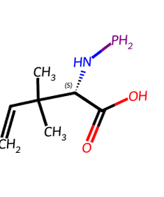 C=CC(C)(C)[C@H](NP)C(=O)O